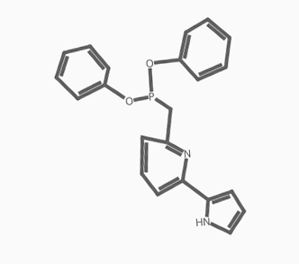 c1ccc(OP(Cc2cccc(-c3ccc[nH]3)n2)Oc2ccccc2)cc1